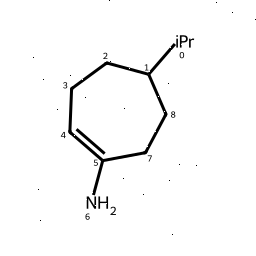 CC(C)C1CCC=C(N)CC1